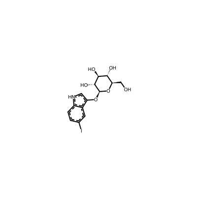 OC[C@H]1O[C@@H](Oc2c[nH]c3ccc(I)cc23)[C@H](O)[C@@H](O)[C@@H]1O